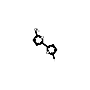 Cc1ccc(-c2ccc(I)o2)o1